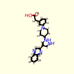 N=C/C(=C\NC1CCN(c2cccc(CC(=O)O)c2)CC1)c1cnc2ccccc2n1